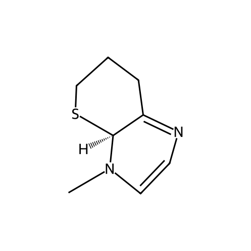 CN1C=CN=C2CCCS[C@@H]21